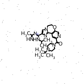 CC(=N)/N=C(\NC(C)C)c1cn2c(n1)-c1cc(C(=O)N3CCN(C(C)(C)C)CC3)ncc1OCC2